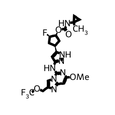 COc1cc2nc(COC(F)(F)F)cn2c(Nc2cc([C@H]3C[C@@H](F)[C@@H](OC(=O)NC4(C)CC4)C3)[nH]n2)n1